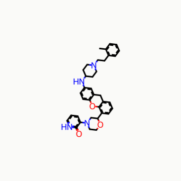 Cc1ccccc1CCN1CCC(Nc2ccc3c(c2)Cc2cccc(C4CN(c5ccc[nH]c5=O)CCO4)c2O3)CC1